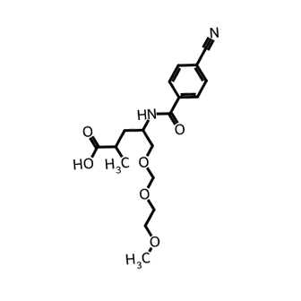 COCCOCOCC(CC(C)C(=O)O)NC(=O)c1ccc(C#N)cc1